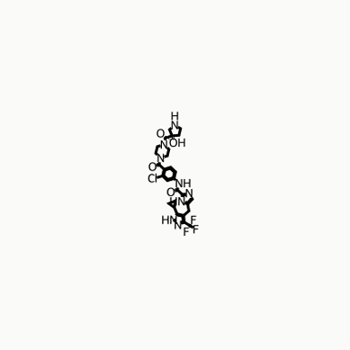 O=C(Nc1ccc(C(=O)N2CCN(C(=O)[C@]3(O)CCNC3)CC2)c(Cl)c1)c1ncc(Cc2c(C(F)(F)F)n[nH]c2C2CC2)[nH]1